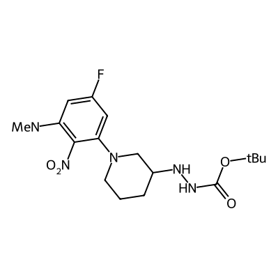 CNc1cc(F)cc(N2CCCC(NNC(=O)OC(C)(C)C)C2)c1[N+](=O)[O-]